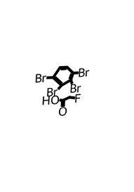 Brc1ccc(Br)c(Br)c1Br.O=C(O)CF